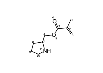 C=C(C)C(=O)OCC1CCCN1